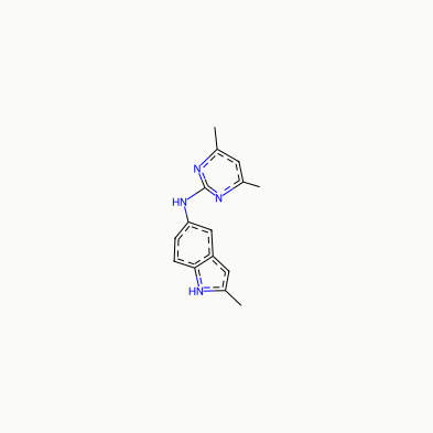 Cc1cc(C)nc(Nc2ccc3[nH]c(C)cc3c2)n1